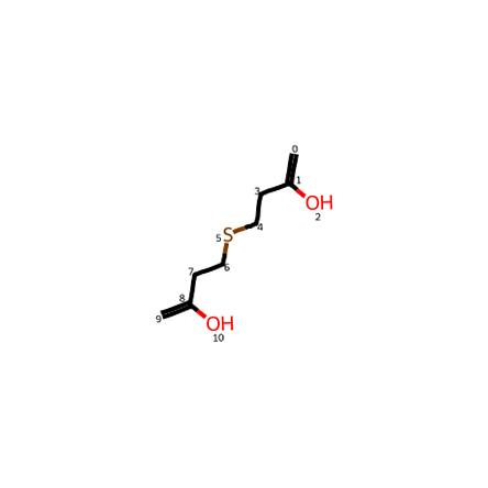 C=C(O)CCSCCC(=C)O